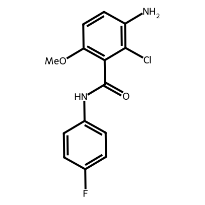 COc1ccc(N)c(Cl)c1C(=O)Nc1ccc(F)cc1